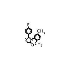 Cc1ccc(C)c(N2C(=O)CSC2c2ccc(F)cc2)c1